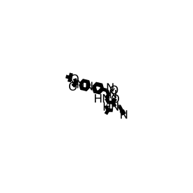 CC(C)C[C@H](Nc1nonc1-c1ccc(N2CCN(C(=O)OC(C)(C)C)CC2)cc1)C(=O)NCC#N